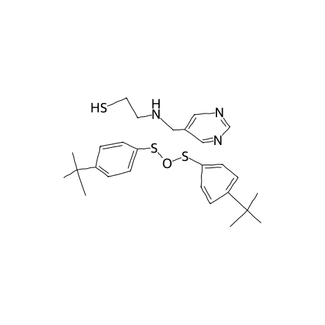 CC(C)(C)c1ccc(SOSc2ccc(C(C)(C)C)cc2)cc1.SCCNCc1cncnc1